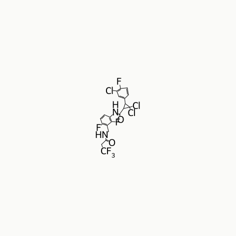 O=C(CC(F)(F)F)NCc1c(F)ccc(NC(=O)C2C(c3ccc(F)c(Cl)c3)C2(Cl)Cl)c1F